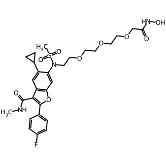 CNC(=O)c1c(-c2ccc(F)cc2)oc2cc(N(CCOCCOCCOCC(=O)NO)S(C)(=O)=O)c(C3CC3)cc12